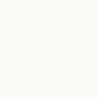 CCCCCCCC1CCC(c2cccc(O)c2Cl)CC1